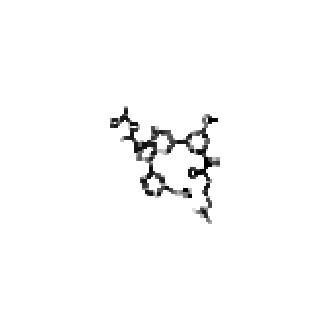 COc1cc(NC(=O)C=CCN(C)C)cc(-c2cnc3c(c2)c(-c2cccc(C#N)c2)cn3C(C)OC(C)=O)c1